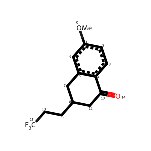 COc1ccc2c(c1)CC(CCC(F)(F)F)CC2=O